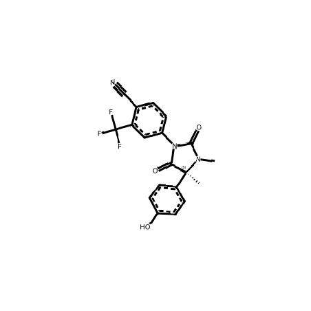 CN1C(=O)N(c2ccc(C#N)c(C(F)(F)F)c2)C(=O)[C@]1(C)c1ccc(O)cc1